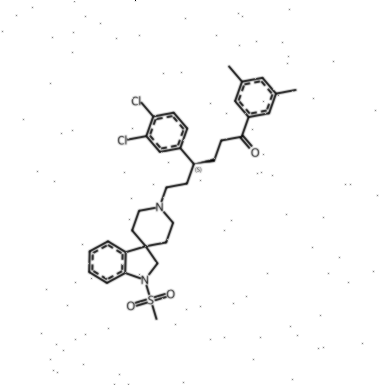 Cc1cc(C)cc(C(=O)CC[C@@H](CCN2CCC3(CC2)CN(S(C)(=O)=O)c2ccccc23)c2ccc(Cl)c(Cl)c2)c1